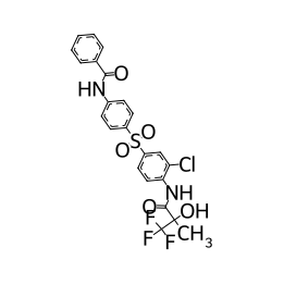 CC(O)(C(=O)Nc1ccc(S(=O)(=O)c2ccc(NC(=O)c3ccccc3)cc2)cc1Cl)C(F)(F)F